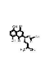 CCC(C)C(=O)OC(CC=C(C)C)C1=CC(=O)c2c(O)ccc(O)c2C1=O